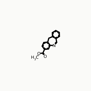 COC(=O)c1ccc2c(c1)N=Cc1ccccc1C2